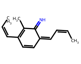 C/C=C\C=C1\C=CC(/C=C\C)=C(C)C1=N